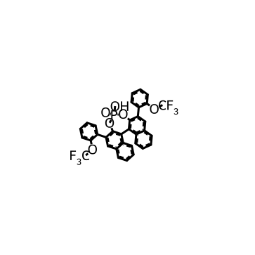 O=P1(O)Oc2c(-c3ccccc3OC(F)(F)F)cc3ccccc3c2-c2c(c(-c3ccccc3OC(F)(F)F)cc3ccccc23)O1